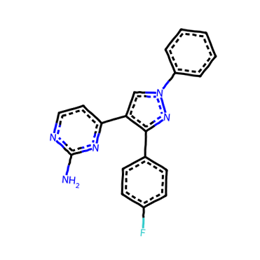 Nc1nccc(-c2cn(-c3ccccc3)nc2-c2ccc(F)cc2)n1